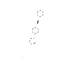 CCCCCc1ccc(-c2cc(F)c(C#Cc3ccc(Cl)c(F)c3)c(F)c2)nc1